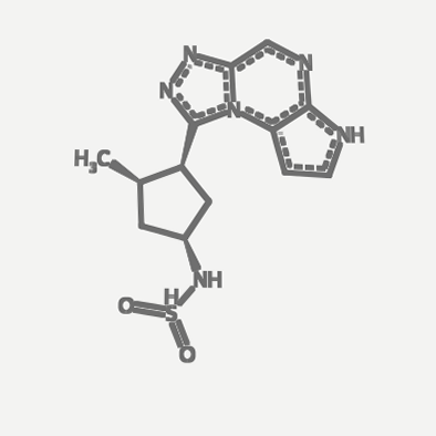 C[C@@H]1C[C@H](N[SH](=O)=O)C[C@@H]1c1nnc2cnc3[nH]ccc3n12